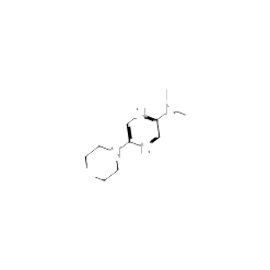 CNc1cnc(N2CCOCC2)cn1